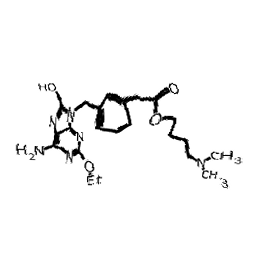 CCOc1nc(N)c2nc(O)n(Cc3cccc(CC(=O)OCCCCN(C)C)c3)c2n1